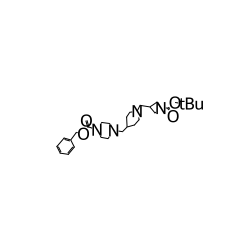 CC(C)(C)OC(=O)N1CC(CN2CCC(CN3CCN(C(=O)OCc4ccccc4)CC3)CC2)C1